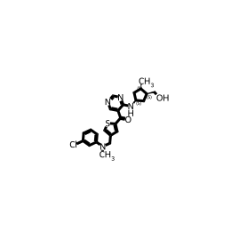 C[C@H]1C[C@H](Nc2ncncc2C(=O)c2cc(CN(C)c3cccc(Cl)c3)cs2)C[C@@H]1CO